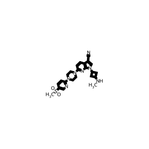 CNC1CC(n2cc(C#N)c3ccc(N4CCN(c5ccc(S(C)(=O)=O)cn5)CC4)nc32)C1